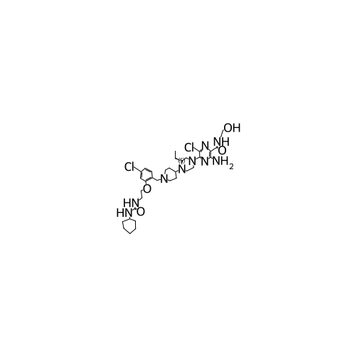 CC[C@H]1CN(c2nc(N)c(C(=O)NCCO)nc2Cl)CCN1C1CCN(Cc2ccc(Cl)cc2OCCNC(=O)NC2CCCCC2)CC1